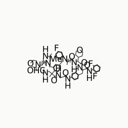 CN[C@@H](C)C(=O)NC(C(=O)N1Cc2cc(NC(=O)CNC(=O)C(C)(CNC=O)c3ccc(Cc4ccc(F)cc4)cc3CN3CC(C)NC[C@@H]3CN3CCOCC3C)ccc2CC1C(=O)Nc1c(F)cccc1F)C1CCOCC1